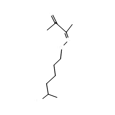 CC(=NNCCCCC(C)C)C(=O)O